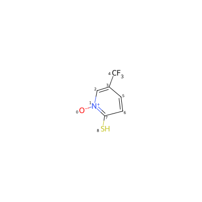 [O-][n+]1cc(C(F)(F)F)ccc1S